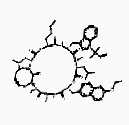 C=CC(C)(C)n1cc(C[C@@H]2NC(=O)[C@H](CCCC)NC(=O)[C@H](CC(C)C)N3CC/C=C\C[C@@H](C3=O)N(C)C(=O)[C@H](C)NC(=O)[C@H](Cc3ccc4cc(OCF)ncc4c3)NC(=O)[C@H](CC(C)C)N(C)C2=O)c2ccccc21